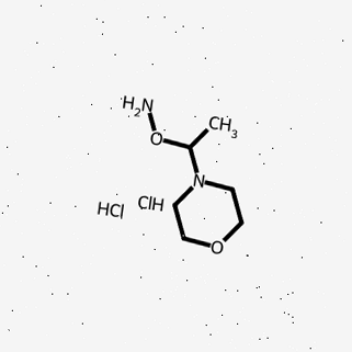 CC(ON)N1CCOCC1.Cl.Cl